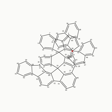 c1ccc2c(c1)-c1ccccc1C21c2ccccc2C2(c3ccccc31)c1c(-c3nc(-c4cccc5ccccc45)c4ccccc4n3)cccc1-c1ccc3c(sc4ccccc43)c12